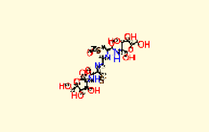 O=C(NC1C(O)OC(CO)C(O)C1O)C(C[S-])[N-]CC[N-]C(C[S-])C(=O)NC1C(O)OC(CO)C(O)C1O.[O]=[Tc+4]